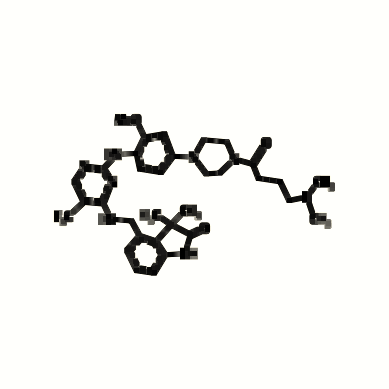 COc1cc(N2CCN(C(=O)CCCN(C)C)CC2)ccc1Nc1ncc(C(F)(F)F)c(NCc2cccc3c2C(C)(C)C(=O)N3)n1